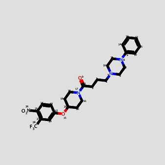 O=C(CCCN1CCN(c2ccccc2)CC1)N1CCC(Oc2ccc([N+](=O)[O-])c(C(F)(F)F)c2)CC1